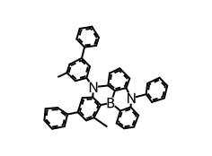 Cc1cc(-c2ccccc2)cc(N2c3cc(-c4ccccc4)cc(C)c3B3c4ccccc4N(c4ccccc4)c4cccc2c43)c1